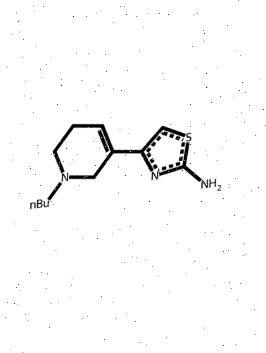 CCCCN1CCC=C(c2csc(N)n2)C1